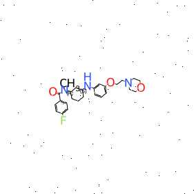 CN(C(=O)c1ccc(F)cc1)[C@@H]1CCC[C@H](Nc2cccc(OCCN3CCOCC3)c2)C1